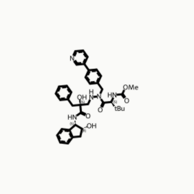 COC(=O)N[C@H](C(=O)N(Cc1ccc(-c2cccnc2)cc1)NC[C@@](O)(Cc1ccccc1)C(=O)N[C@H]1c2ccccc2C[C@H]1O)C(C)(C)C